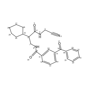 N#CCNC(=O)C(CNC(=O)c1cccc(C(=O)c2ccccc2)c1)C1CCCCC1